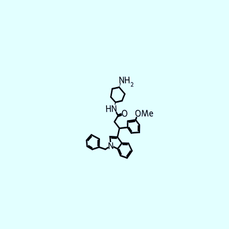 COc1cccc(C(CC(=O)N[C@H]2CC[C@@H](N)CC2)c2cn(Cc3ccccc3)c3ccccc23)c1